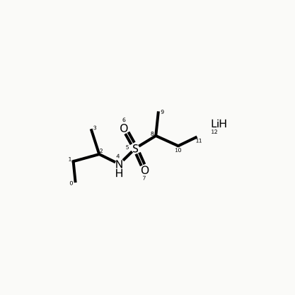 CCC(C)NS(=O)(=O)C(C)CC.[LiH]